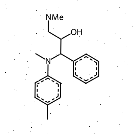 CNCC(O)C(c1ccccc1)N(C)c1ccc(C)cc1